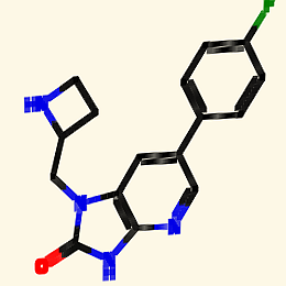 O=c1[nH]c2ncc(-c3ccc(F)cc3)cc2n1CC1CCN1